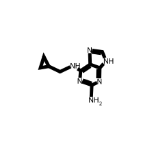 Nc1nc(NCC2CC2)c2nc[nH]c2n1